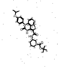 CC(C)Oc1ccc(N2C(=O)Nc3c(C(=O)N[C@@H]4CCCN(C(=O)OC(C)(C)C)C4)sc4nccc2c34)cc1